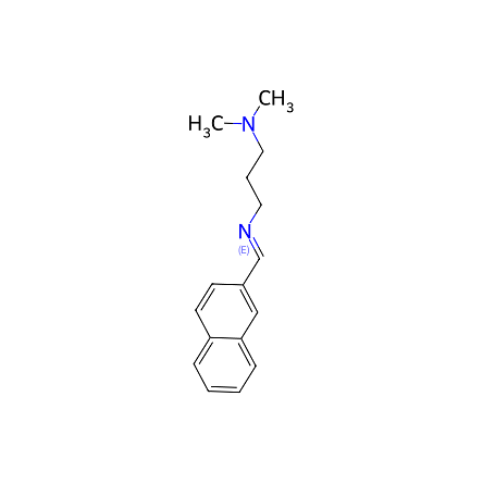 CN(C)CCC/N=C/c1ccc2ccccc2c1